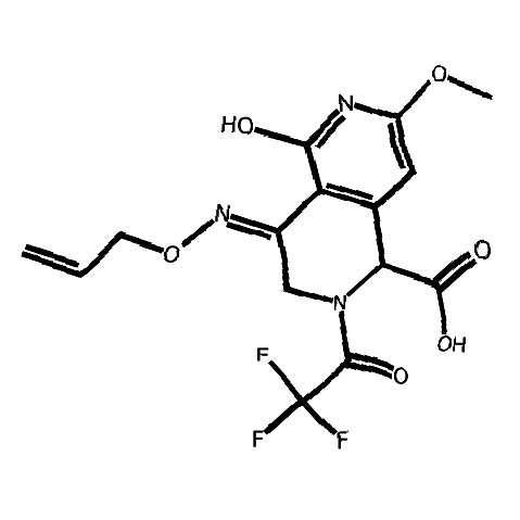 C=CCO/N=C1\CN(C(=O)C(F)(F)F)C(C(=O)O)c2cc(OC)nc(O)c21